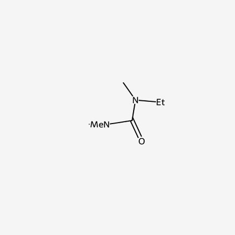 CCN(C)C(=O)[N]C